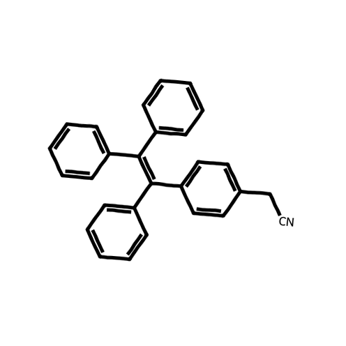 N#CCc1ccc(C(=C(c2ccccc2)c2ccccc2)c2ccccc2)cc1